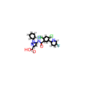 O=C(O)c1cc(NC(=O)c2cc(-c3ccc(F)cn3)c(Cl)cc2Cl)n(-c2ccccc2)n1